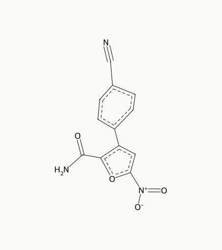 N#Cc1ccc(-c2cc([N+](=O)[O-])oc2C(N)=O)cc1